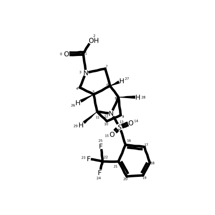 O=C(O)N1C[C@@H]2[C@H](C1)[C@@H]1CC[C@H]2N1S(=O)(=O)c1ccccc1C(F)(F)F